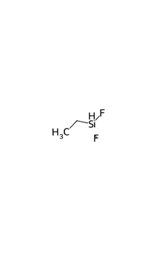 CC[SiH](F)F